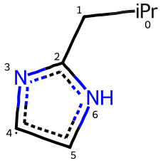 CC(C)Cc1n[c]c[nH]1